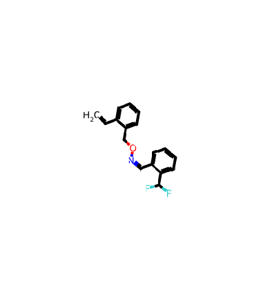 C=Cc1ccccc1CO/N=[C]\c1ccccc1C(F)F